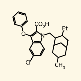 CCC1CC2CC(C)CC(C2)C1Cn1c(C(=O)O)c(Oc2ccccc2)c2cc(Cl)ccc21